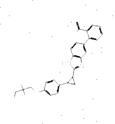 C=C(O)c1ccccc1-c1ccc2[nH]c(C3CC3c3ccc(OCC(F)(F)CF)cc3)nc2c1